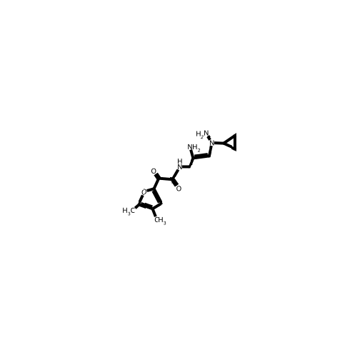 Cc1cc(C(=O)C(=O)NC/C(N)=C/N(N)C2CC2)oc1C